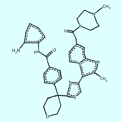 Cc1nc2cc(C(=O)N3CCN(C)CC3)ccn2c1-c1csc(C2(c3ccc(C(=O)Nc4ccccc4N)cc3)CCOCC2)n1